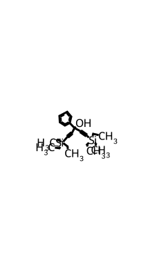 CC[Si](C#CC(O)(C#C[Si](CC)(CC)CC)c1ccccc1)(CC)CC